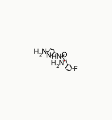 Nc1ccc(CNC(=O)[C@@H](N)Cc2cccc(F)c2)cn1